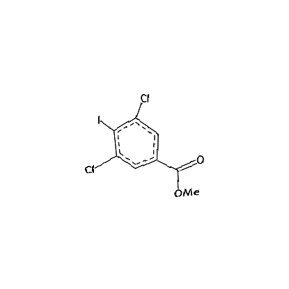 COC(=O)c1cc(Cl)c(I)c(Cl)c1